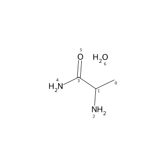 CC(N)C(N)=O.O